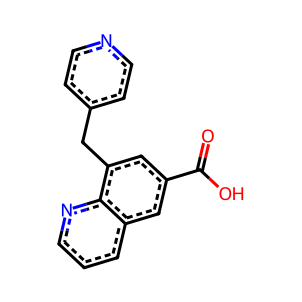 O=C(O)c1cc(Cc2ccncc2)c2ncccc2c1